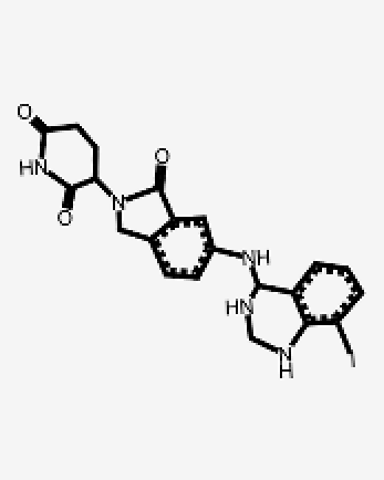 O=C1CCC(N2Cc3ccc(NC4NCNc5c(I)cccc54)cc3C2=O)C(=O)N1